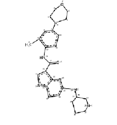 Cc1cc(N2CCOCC2)ccc1NC(=O)c1cnn2ccc(N[C@@H]3CCCNC3)nc12